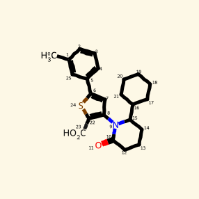 Cc1cccc(-c2cc(N3C(=O)CCCC3C3CCCCC3)c(C(=O)O)s2)c1